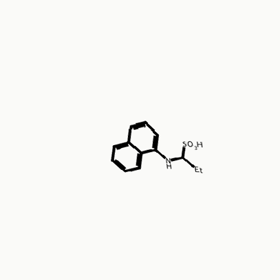 CCC(Nc1cccc2ccccc12)S(=O)(=O)O